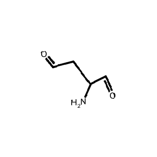 NC(C=O)CC=O